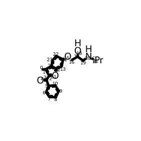 Cc1c(C(=O)c2ccccc2)oc2cc(OCC(O)CNC(C)C)ccc12